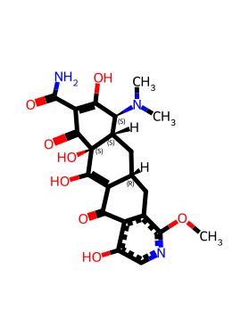 COc1ncc(O)c2c1C[C@H]1C[C@H]3[C@H](N(C)C)C(O)=C(C(N)=O)C(=O)[C@@]3(O)C(O)=C1C2=O